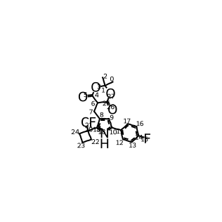 CC1(C)OC(=O)C(Cc2cc(-c3ccc(F)cc3)[nH]c2C2(C(F)(F)F)CCC2)C(=O)O1